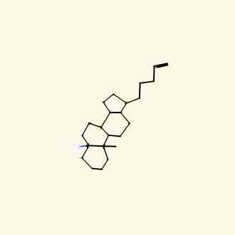 C=CCCCC1CCC2C1CCC1C2CCC2(N)CCCCC12C